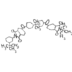 CC(C)(C)C1CCCC(N2C(=O)C3CCC(OC4CCC(C(C)(C)C5CCC(OC6CCC7C(=O)N(C(C)(C)C)C(=O)C7C6)CC5)CC4)CC3C2=O)C1